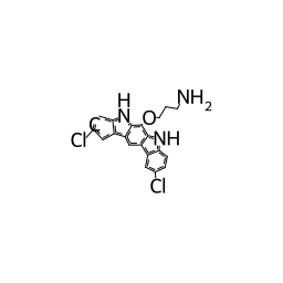 NCCCOc1c2[nH]c3ccc(Cl)cc3c2cc2c1[nH]c1ccc(Cl)cc12